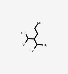 CC(C)C(CCN)C(C)C